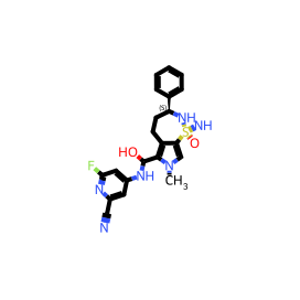 Cn1cc2c(c1C(O)Nc1cc(F)nc(C#N)c1)CC[C@@H](c1ccccc1)NS2(=N)=O